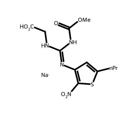 CCCc1cc(N=C(NCC(=O)O)NC(=O)OC)c([N+](=O)[O-])s1.[Na]